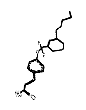 CCCCCC1CCCC(C(F)(F)Oc2ccc(C=CC(=O)O)cc2)C1